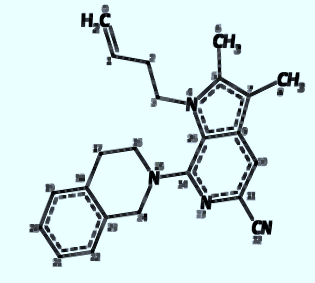 C=CCCn1c(C)c(C)c2cc(C#N)nc(N3CCc4ccccc4C3)c21